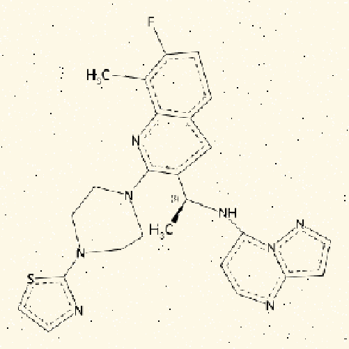 Cc1c(F)ccc2cc([C@H](C)Nc3ccnc4ccnn34)c(N3CCN(c4nccs4)CC3)nc12